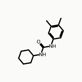 Cc1ccc(NC(=O)NC2CCCCC2)cc1C